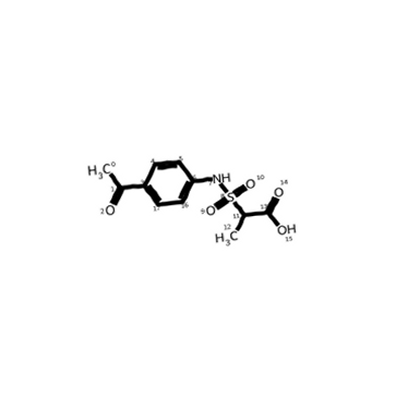 CC(=O)c1ccc(NS(=O)(=O)C(C)C(=O)O)cc1